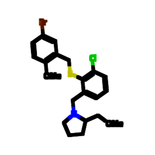 COCC1CCCN1Cc1cccc(Cl)c1SCc1cc(Br)ccc1OC